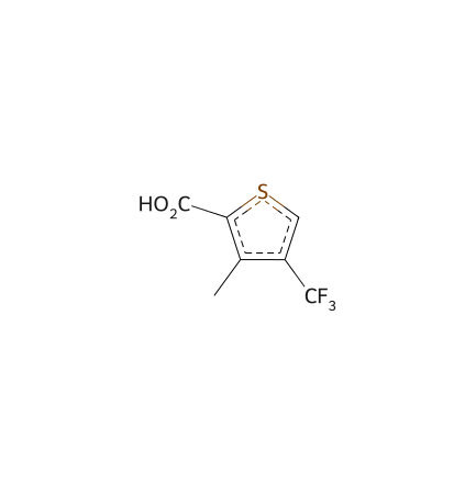 Cc1c(C(F)(F)F)csc1C(=O)O